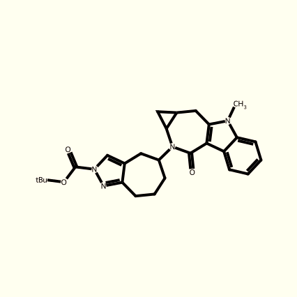 Cn1c2c(c3ccccc31)C(=O)N(C1CCCc3nn(C(=O)OC(C)(C)C)cc3C1)C1CC1C2